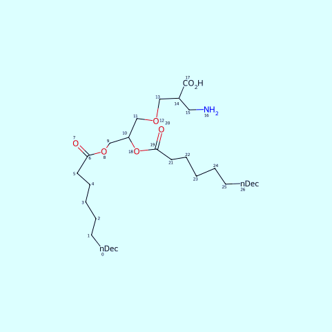 CCCCCCCCCCCCCCCC(=O)OCC(COCC(CN)C(=O)O)OC(=O)CCCCCCCCCCCCCCC